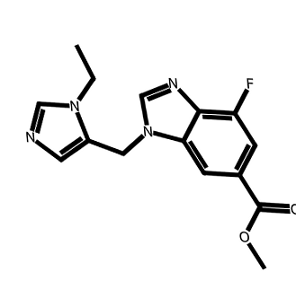 CCn1cncc1Cn1cnc2c(F)cc(C(=O)OC)cc21